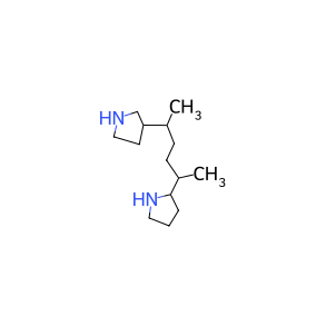 CC(CCC(C)C1CCCN1)C1CCNC1